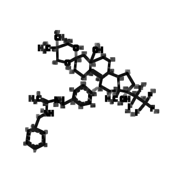 C=C(NCc1ccccc1)NCc1ccc([C@H]2CC3(C)C(CC[C@@]3(O)C(F)(F)C(F)(F)F)C3CCC4(O)CC5(CCC4=C32)OCC(C)(C)CO5)cc1